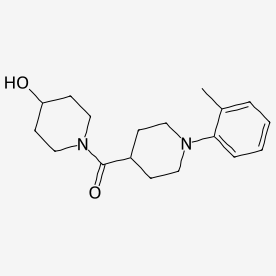 Cc1ccccc1N1CCC(C(=O)N2CCC(O)CC2)CC1